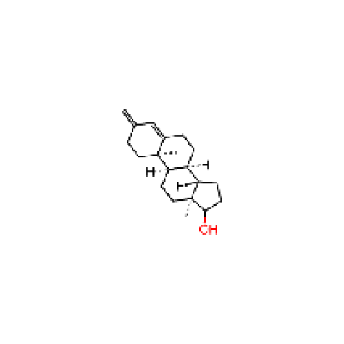 C=C1C=C2CC[C@@H]3[C@@H](CC[C@]4(C)C(O)CC[C@@H]34)[C@@]2(C)CC1